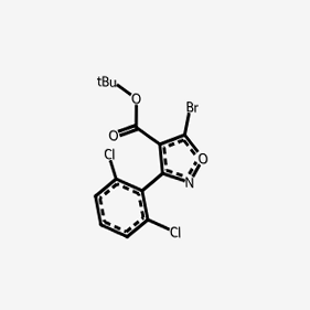 CC(C)(C)OC(=O)c1c(-c2c(Cl)cccc2Cl)noc1Br